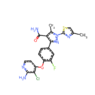 Cc1csc(-n2nc(-c3ccc(Oc4ccnc(N)c4Cl)c(F)c3)c(C(N)=O)c2C(F)(F)F)n1